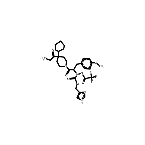 CCC(=O)C1(C2CCCCC2)CCN(C(=O)C(Cc2ccc(OC)cc2)N(OC(=O)C(F)(F)F)C(=O)NCc2c[nH]cn2)CC1